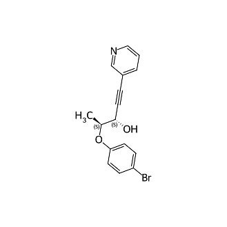 C[C@H](Oc1ccc(Br)cc1)[C@@H](O)C#Cc1cccnc1